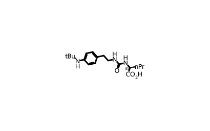 CCC[C@H](NC(=O)NCCc1ccc(NC(C)(C)C)cc1)C(=O)O